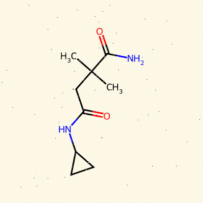 CC(C)([CH]C(=O)NC1CC1)C(N)=O